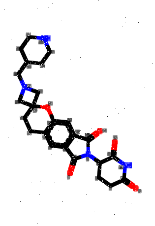 O=C1CCC(N2C(=O)c3cc4c(cc3C2=O)OC2(CC4)CN(CC3CCNCC3)C2)C(=O)N1